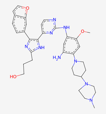 COc1cc(N2CCC(N3CCN(C)CC3)CC2)c(N)cc1Nc1nccc(-c2[nH]c(CCCO)nc2-c2ccc3ccoc3c2)n1